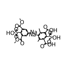 COC(=O)c1c[c]([Na])cc(C(=O)OC)c1S(=O)(=O)O.Cc1[c]([Na])c(C)c(C(=O)O)c(S(=O)(=O)O)c1C(=O)O